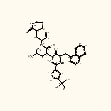 CC(C)CC(NC(=O)C(Cc1cccc2ccccc12)NC(=O)c1cc(C(F)(F)F)on1)C(=O)NC(C=O)CC1CCCNC1=O